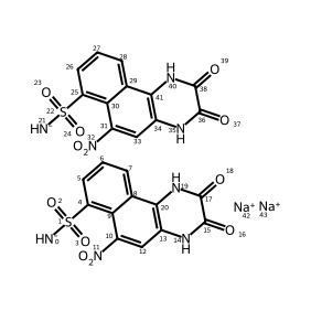 [NH-]S(=O)(=O)c1cccc2c1c([N+](=O)[O-])cc1[nH]c(=O)c(=O)[nH]c12.[NH-]S(=O)(=O)c1cccc2c1c([N+](=O)[O-])cc1[nH]c(=O)c(=O)[nH]c12.[Na+].[Na+]